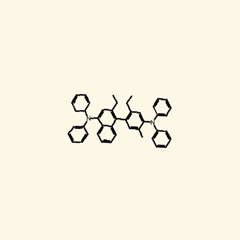 CCc1cc(N(c2ccccc2)c2ccccc2)c(C)cc1-c1c(CC)cc(N(c2ccccc2)C2C=CC=CC2)c2ccccc12